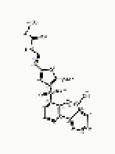 CSc1sc(/N=C/NC(=O)OC(C)(C)C)cc1S(=O)(=O)c1cccc(-c2ccccc2CO)c1C